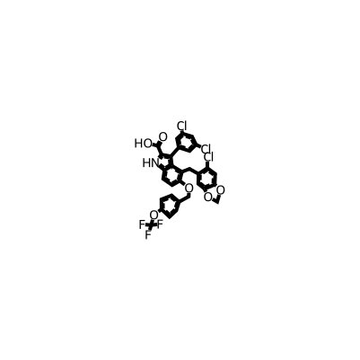 O=C(O)c1[nH]c2ccc(OCc3ccc(OC(F)(F)F)cc3)c(Cc3cc4c(cc3Cl)OCO4)c2c1-c1cc(Cl)cc(Cl)c1